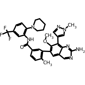 COc1c(-c2cc(C(=O)Nc3cc(C(F)(F)F)ccc3N3CCCCC3)ccc2C)cc2cnc(N)nc2c1-c1cnn(C)c1